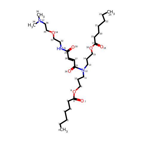 CCCCCCC(=O)OCCCN(CCCOC(=O)CCCCCC)C(=O)C=CC(=O)NCCOCCN(C)C